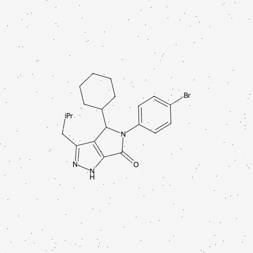 CC(C)Cc1n[nH]c2c1C(C1CCCCC1)N(c1ccc(Br)cc1)C2=O